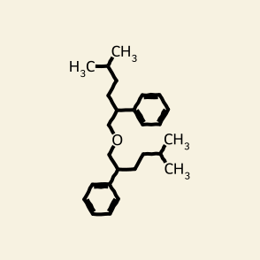 CC(C)CCC(COCC(CCC(C)C)c1ccccc1)c1ccccc1